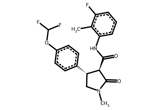 Cc1c(F)cccc1NC(=O)[C@H]1C(=O)N(C)C[C@@H]1c1ccc(OC(F)F)cc1